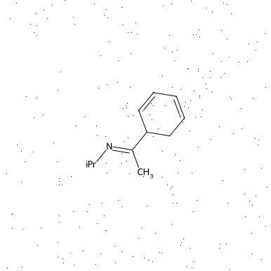 C/C(=N\C(C)C)C1C=CC=CC1